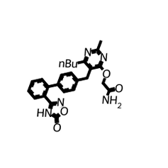 CCCCc1nc(C)nc(OCC(N)=O)c1Cc1ccc(-c2ccccc2-c2noc(=O)[nH]2)cc1